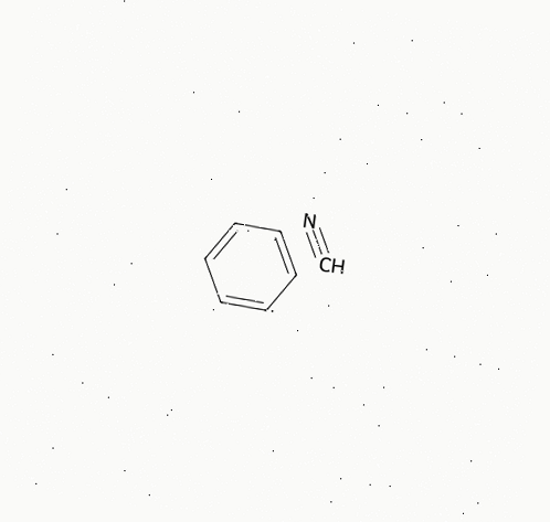 C#N.[c]1ccccc1